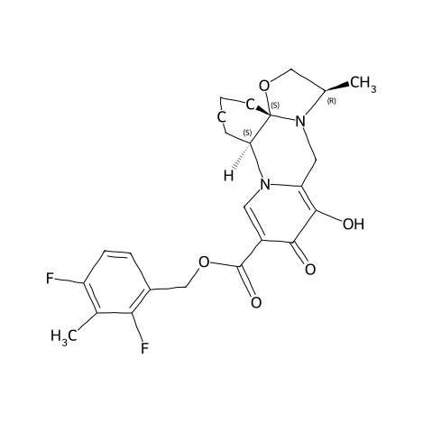 Cc1c(F)ccc(COC(=O)c2cn3c(c(O)c2=O)CN2[C@H](C)CO[C@]24CCCC[C@H]34)c1F